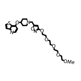 COCCOCCOCCOCCOc1cc(CN2CCC(Oc3ccnc4ccsc34)CC2)on1